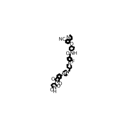 N#Cc1ccc(OC2CCC(NC(=O)c3ccc(N4CCC(CN5CCN(c6ccc7c(c6)C(=O)N(C6CCC(=O)NC6=O)C7=O)CC5)CC4)c(F)c3)CC2)c2cccnc12